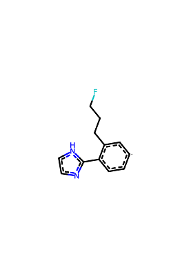 FCCCc1c[c]ccc1-c1ncc[nH]1